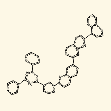 c1ccc(-c2nc(-c3ccccc3)nc(-c3cccc(-c4ccc5ccc(-c6ccc7ccc(-c8cccc9cccnc89)nc7c6)cc5n4)c3)n2)cc1